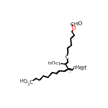 CCCCCCC/C=C(/CCCCCCCCC(=O)O)C(CCCCCCCC)CCCCCCCCOC=O